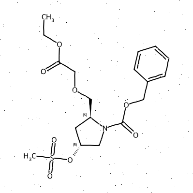 CCOC(=O)COC[C@@H]1C[C@@H](OS(C)(=O)=O)CN1C(=O)OCc1ccccc1